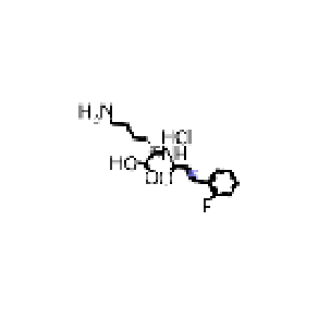 Cl.NCCCC[C@H](NC(=O)/C=C/c1ccccc1F)C(=O)O